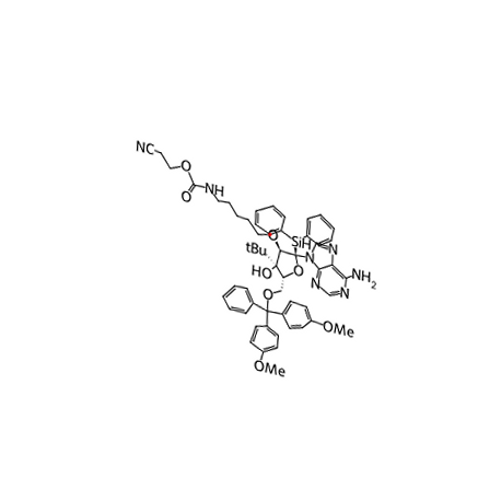 COc1ccc(C(OC[C@H]2O[C@](n3cnc4c(N)ncnc43)([SiH](c3ccccc3)c3ccccc3)[C@H](OCCCCCNC(=O)OCCC#N)[C@@]2(O)C(C)(C)C)(c2ccccc2)c2ccc(OC)cc2)cc1